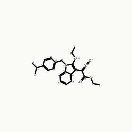 CCOC(=O)C(=C=O)c1c(OCC)n(Cc2ccc(C(C)C)cc2)c2ccccc12